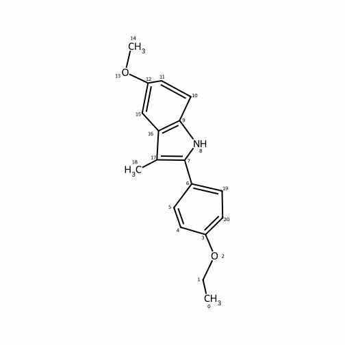 CCOc1ccc(-c2[nH]c3ccc(OC)cc3c2C)cc1